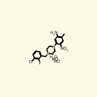 Cc1cc([N+](=O)[O-])c(N2CCN(Cc3cccc(Cl)c3F)CC2)cc1N.Cl.Cl.O